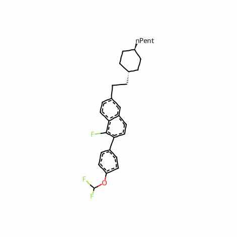 CCCCC[C@H]1CC[C@H](CCc2ccc3c(F)c(-c4ccc(OC(F)F)cc4)ccc3c2)CC1